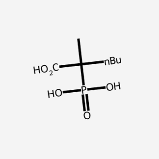 CCCCC(C)(C(=O)O)P(=O)(O)O